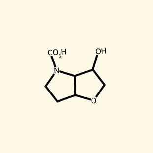 O=C(O)N1CCC2OCC(O)C21